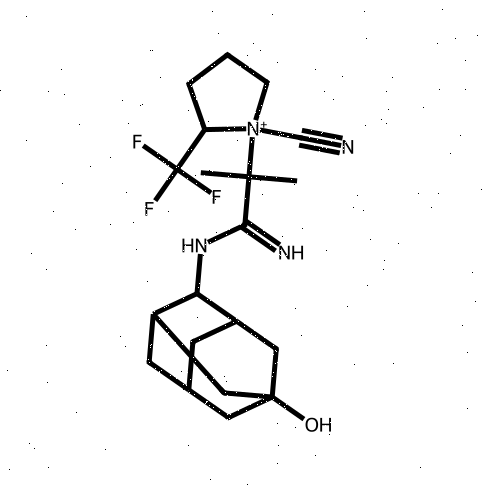 CC(C)(C(=N)NC1C2CC3CC1CC(O)(C3)C2)[N+]1(C#N)CCCC1C(F)(F)F